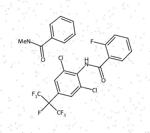 CNC(=O)c1ccccc1.O=C(Nc1c(Cl)cc(C(F)(C(F)(F)F)C(F)(F)F)cc1Cl)c1ccccc1F